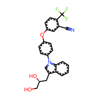 N#Cc1cc(Oc2ccc(-n3cc(C[C@H](O)CO)c4ccccc43)cc2)ccc1C(F)(F)F